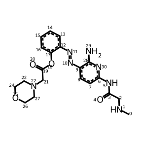 CNCC(=O)Nc1ccc(/N=N/c2ccccc2OC(=O)CN2CCOCC2)c(N)n1